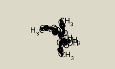 COc1ccc(COC(=O)C2=C(S[C@H]3C[C@@H](CN4CCCN(C(=O)OCc5ccc(OC)cc5)S4(=O)=O)N(C(=O)OCc4ccc(OC)cc4)C3)[C@H](C)[C@@H]3[C@@H]([C@@H](C)O)C(=O)N23)cc1